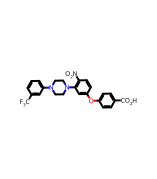 O=C(O)c1ccc(Oc2ccc([N+](=O)[O-])c(N3CCN(c4cccc(C(F)(F)F)c4)CC3)c2)cc1